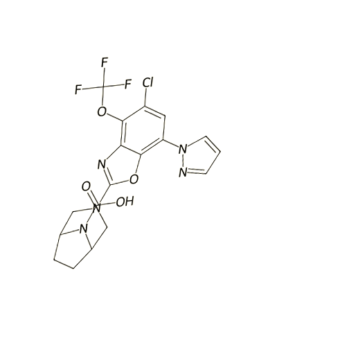 O=C(O)N1C2CCC1CN(c1nc3c(OC(F)(F)F)c(Cl)cc(-n4cccn4)c3o1)C2